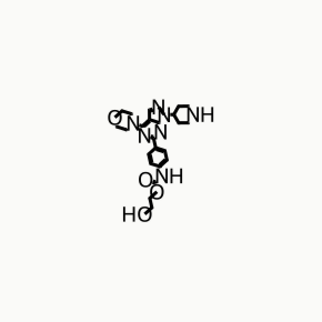 O=C(Nc1ccc(-c2nc(N3CCOCC3)c3cnn(C4CCNCC4)c3n2)cc1)OCCO